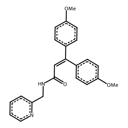 COc1ccc(C(=CC(=O)NCc2ccccn2)c2ccc(OC)cc2)cc1